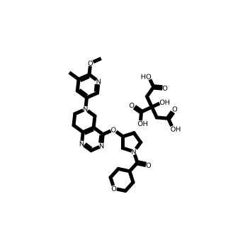 COc1ncc(N2CCc3ncnc(OC4CCN(C(=O)C5CCOCC5)C4)c3C2)cc1C.O=C(O)CC(O)(CC(=O)O)C(=O)O